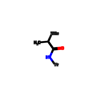 CNC(C)C(=O)NC(C)C